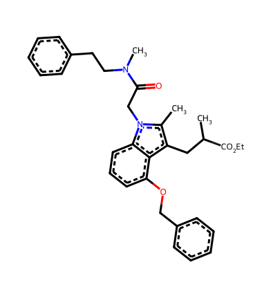 CCOC(=O)C(C)Cc1c(C)n(CC(=O)N(C)CCc2ccccc2)c2cccc(OCc3ccccc3)c12